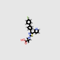 CC1(C(=O)O)CN(c2nc(-c3ccc(-c4ccc(F)cc4)cc3)c(-c3cccnc3)s2)C1